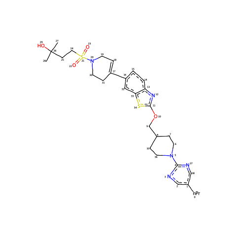 CCCc1cnc(N2CCC(COc3nc4ccc(C5=CCN(S(=O)(=O)CCC(C)(C)O)CC5)cc4s3)CC2)nc1